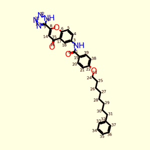 O=C(Nc1ccc2oc(-c3nnn[nH]3)cc(=O)c2c1)c1ccc(OCCCCCCCCc2ccccc2)cc1